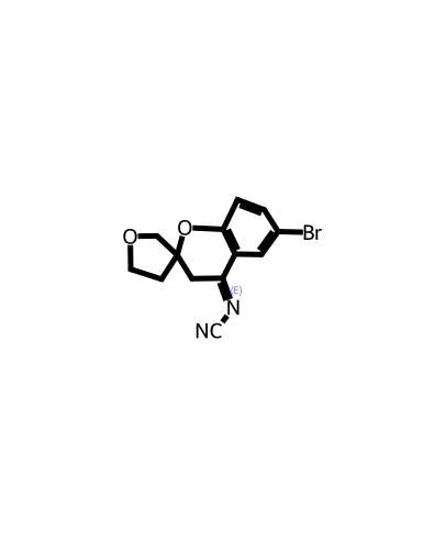 N#C/N=C1\CC2(CCOC2)Oc2ccc(Br)cc21